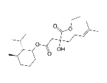 CCOC(=O)C(O)(CCC=C(C)C)CC(=O)OC1CCC[C@@H](C)[C@@H]1C(C)C